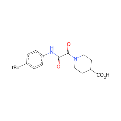 CC(C)(C)c1ccc(NC(=O)C(=O)N2CCC(C(=O)O)CC2)cc1